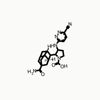 N#Cc1ccc(NC2CCN(C(=O)O)C2C2[C@@H]3CC4C[C@H]2CC(C(N)=O)(C4)C3)nn1